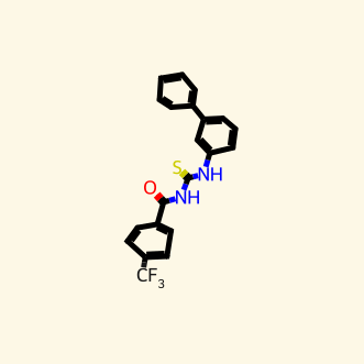 O=C(NC(=S)Nc1cccc(-c2ccccc2)c1)c1ccc(C(F)(F)F)cc1